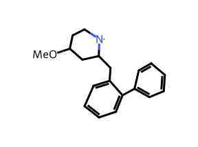 COC1CC[N]C(Cc2ccccc2-c2ccccc2)C1